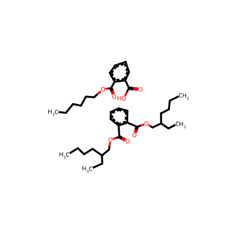 CCCCC(CC)COC(=O)c1ccccc1C(=O)OCC(CC)CCCC.CCCCCCOC(=O)c1ccccc1C(=O)O